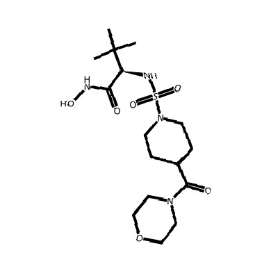 CC(C)(C)[C@@H](NS(=O)(=O)N1CCC(C(=O)N2CCOCC2)CC1)C(=O)NO